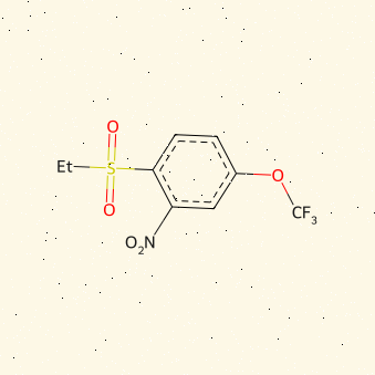 CCS(=O)(=O)c1ccc(OC(F)(F)F)cc1[N+](=O)[O-]